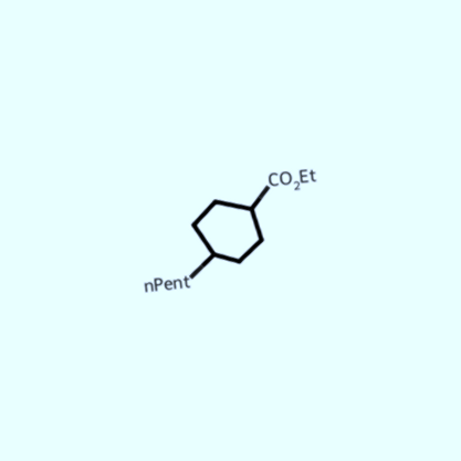 [CH2]CCCCC1CCC(C(=O)OCC)CC1